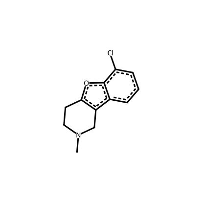 CN1CCc2oc3c(Cl)cccc3c2C1